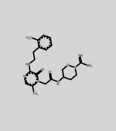 Cc1ccccc1CCNc1ncc(C)n(CC(=O)NC2CCN(C(=N)N)OC2)c1=O